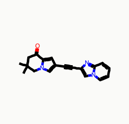 CC1(C)CC(=O)c2cc(C#Cc3cn4ccccc4n3)cn2C1